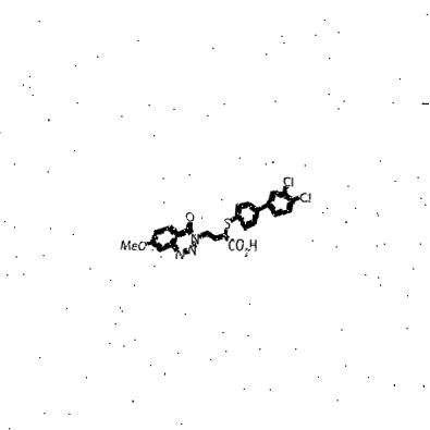 COc1ccc2c(=O)n(CCC(Sc3ccc(-c4ccc(Cl)c(Cl)c4)cc3)C(=O)O)nnc2c1